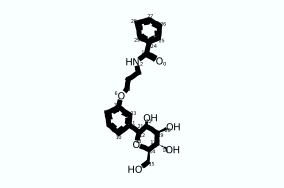 O=C(NCCCOc1cccc(C2O[C@H](CO)[C@@H](O)[C@H](O)[C@@H]2O)c1)c1ccccc1